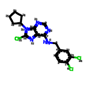 Clc1ccc(CNc2ncnc3c2nc(Cl)n3C2CCCC2)cc1Cl